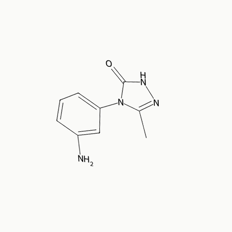 Cc1n[nH]c(=O)n1-c1cccc(N)c1